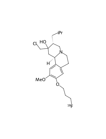 COc1cc2c(cc1OCCC[18F])CCN1C[C@@H](CC(C)C)C(O)(CCl)C[C@H]21